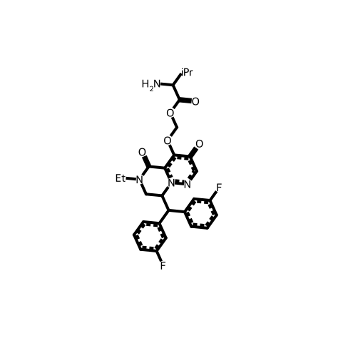 CCN1CC(C(c2cccc(F)c2)c2cccc(F)c2)n2ncc(=O)c(OCOC(=O)C(N)C(C)C)c2C1=O